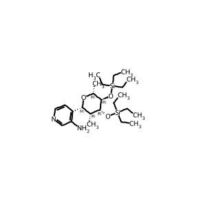 CC[Si](CC)(CC)O[C@@H]1[C@H](C)[C@H](c2ccncc2N)O[C@H](C)[C@H]1O[Si](CC)(CC)CC